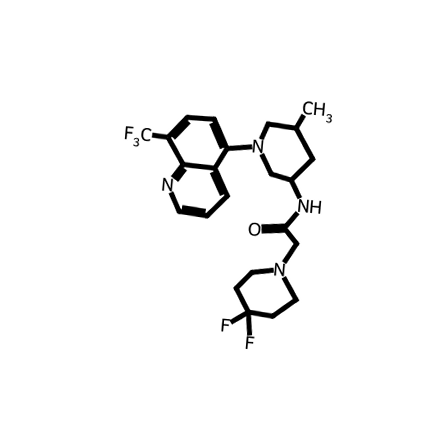 CC1CC(NC(=O)CN2CCC(F)(F)CC2)CN(c2ccc(C(F)(F)F)c3ncccc23)C1